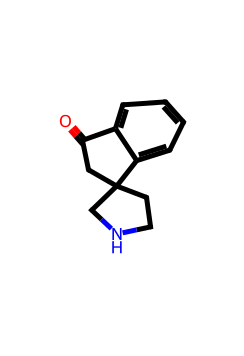 O=C1CC2(CCNC2)c2ccccc21